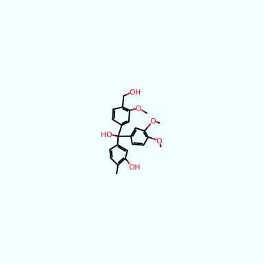 COc1cc(C(O)(c2ccc(C)c(O)c2)c2ccc(OC)c(OC)c2)ccc1CO